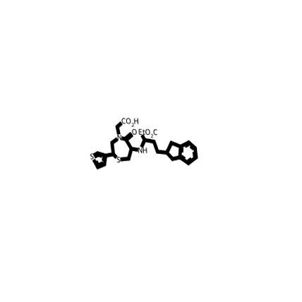 CCOC(=O)C(CCC1Cc2ccccc2C1)NC1CSC(c2ccsc2)CN(CC(=O)O)C1=O